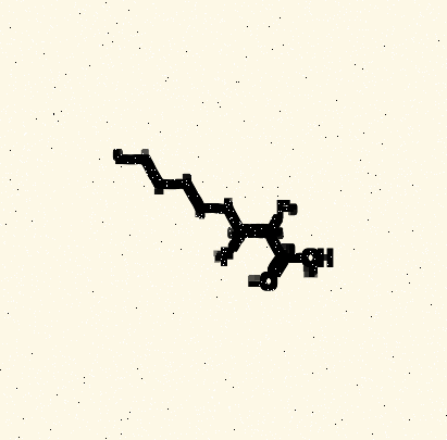 CCCCCCC(F)=C(F)C(=O)O